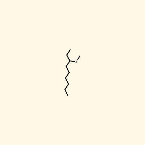 CCCCCCC(CC)SC